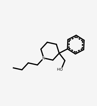 CCCCN1CCCC(CO)(c2ccccc2)C1